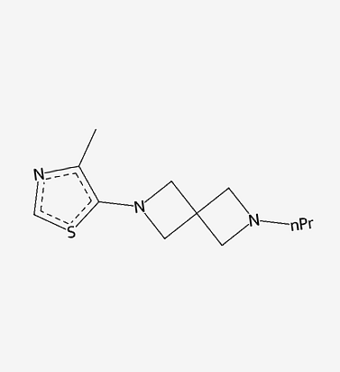 CCCN1CC2(C1)CN(c1scnc1C)C2